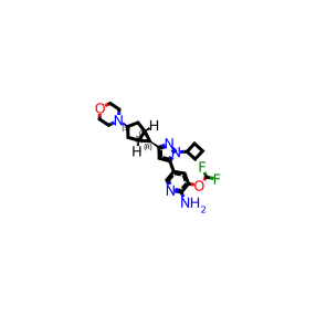 Nc1ncc(-c2cc([C@H]3[C@@H]4C[C@@H](N5CCOCC5)C[C@@H]43)nn2C2CCC2)cc1OC(F)F